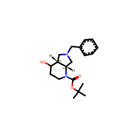 CC(C)(C)OC(=O)N1CCC(O)[C@@H]2CN(Cc3ccccc3)C[C@@H]21